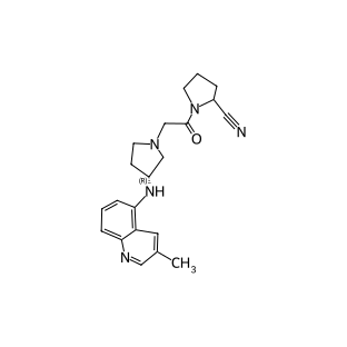 Cc1cnc2cccc(N[C@@H]3CCN(CC(=O)N4CCCC4C#N)C3)c2c1